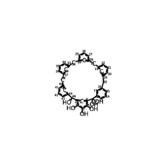 Oc1c2cc(c(O)c1O)C(O)(O)c1cccc(c1)Cc1cccc(c1)Cc1cccc(c1)Cc1cccc(c1)Cc1cccc(c1)C2O